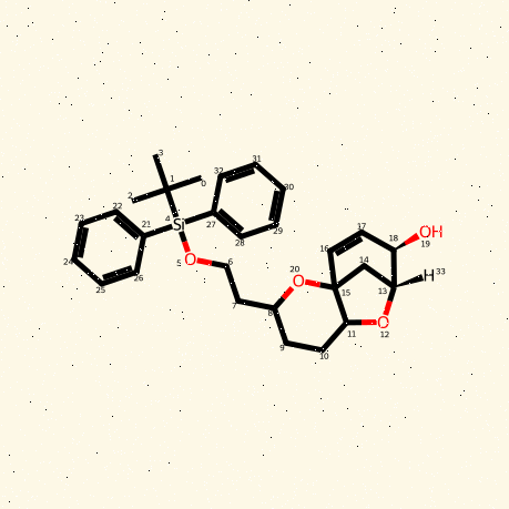 CC(C)(C)[Si](OCCC1CCC2O[C@@H]3CC2(C=C[C@H]3O)O1)(c1ccccc1)c1ccccc1